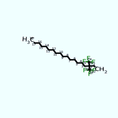 [CH2]CC(CCCCCCCCCCCCCCCC)(C(F)(F)F)C(F)(F)F